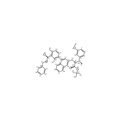 COc1cccc([C@@H](C)N(Cc2cc(-c3ccc(C)c(C(=O)OCc4ccccc4)c3C)c3ccccc3c2)C(=O)OC(C)(C)C)c1